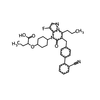 CCCc1c(Cc2ccc(-c3ccccc3C#N)cc2)c(=O)n(C2CCC(OC(CC)C(=O)O)CC2)c2c(F)cnn12